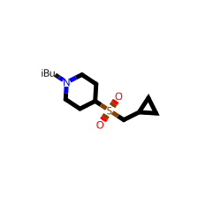 CCC(C)N1CCC(S(=O)(=O)CC2CC2)CC1